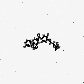 Cc1cccc([C@]23CCN(C(=O)c4ccc(OCCOC(F)(F)F)c(C)c4)CC2OCO3)n1